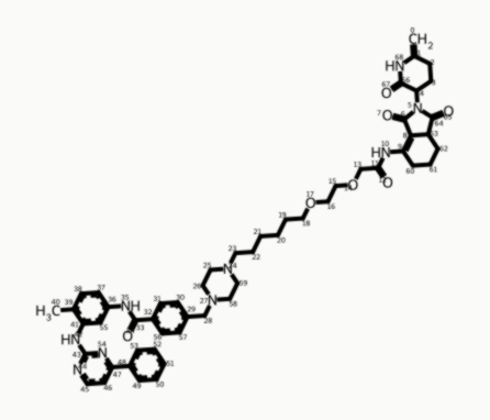 C=C1CCC(N2C(=O)C3=C(NC(=O)COCCOCCCCCCN4CCN(Cc5ccc(C(=O)Nc6ccc(C)c(Nc7nccc(-c8ccccc8)n7)c6)cc5)CC4)CCCC3C2=O)C(=O)N1